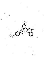 O=c1cc(-c2cc(O)ccc2NS(=O)(=O)c2ccc([N+](=O)[O-])cc2)oc2ccccc12